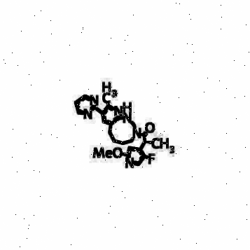 COc1cc([C@H](C)C(=O)N2CCCCc3cc(-c4ncccn4)c(C)nc3NC2)c(F)cn1